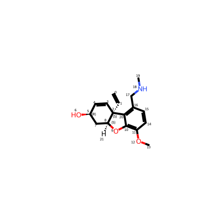 C=C[C@@]12C=C[C@H](O)C[C@@H]1Oc1c(OC)ccc(CNC)c12